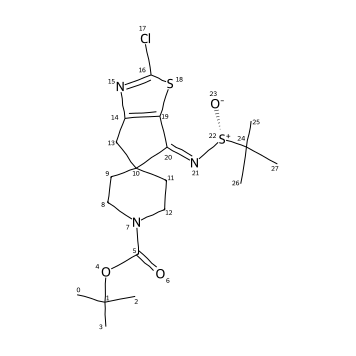 CC(C)(C)OC(=O)N1CCC2(CC1)Cc1nc(Cl)sc1C2=N[S@+]([O-])C(C)(C)C